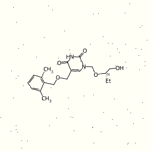 CC[C@@H](CO)OCn1cc(COCc2c(C)cccc2C)c(=O)[nH]c1=O